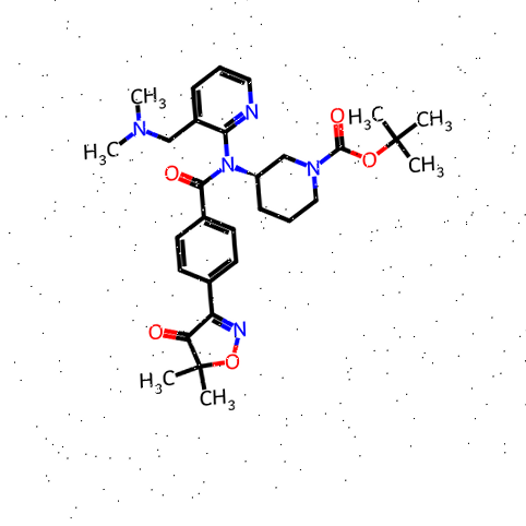 CN(C)Cc1cccnc1N(C(=O)c1ccc(C2=NOC(C)(C)C2=O)cc1)[C@@H]1CCCN(C(=O)OC(C)(C)C)C1